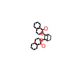 O=C(OC1C2CCC(C1OC(=O)c1ccccc1)C(c1ccccc1)C2c1ccccc1)c1ccccc1